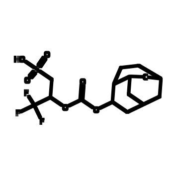 O=C(OC1CC2CC3CCC1C(C3)C2)OC(CS(=O)(=O)O)C(F)(F)F